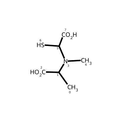 CC(C(=O)O)N(C)C(S)C(=O)O